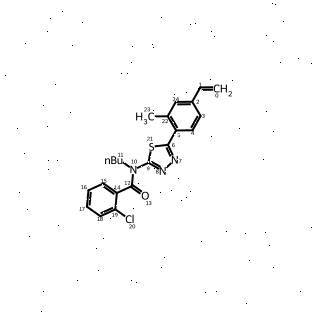 C=Cc1ccc(-c2nnc(N(CCCC)C(=O)c3ccccc3Cl)s2)c(C)c1